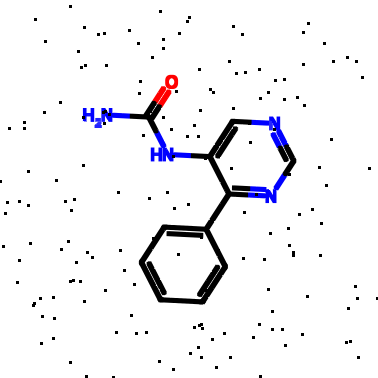 NC(=O)Nc1cncnc1-c1ccccc1